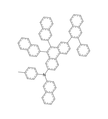 Cc1ccc(N(c2ccc3ccccc3c2)c2ccc3c(c2)c(-c2ccc4ccccc4c2)c(-c2ccc4ccccc4c2)c2cc(-c4cc5ccccc5cc4-c4ccccc4)ccc23)cc1